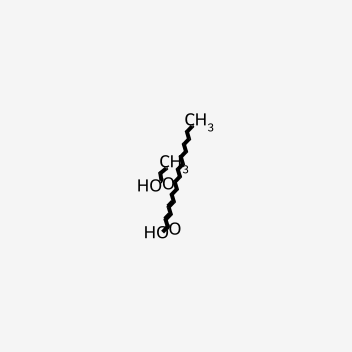 CCCC(=O)O.CCCCCCCCCCCCCC=CC=CC(=O)O